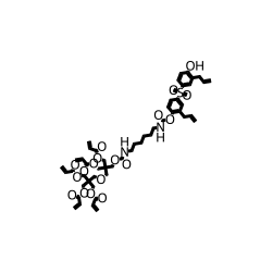 C=CCc1cc(S(=O)(=O)c2ccc(OC(=O)NCCCCCCNC(=O)OCC(COCC(COC(=O)C=C)(COC(=O)C=C)COC(=O)C=C)(COC(=O)C=C)COC(=O)C=C)c(CC=C)c2)ccc1O